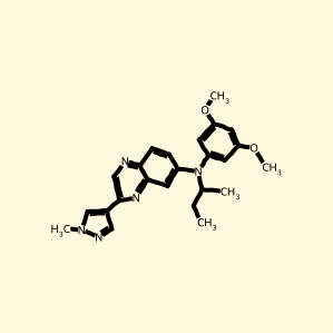 CCC(C)N(c1cc(OC)cc(OC)c1)c1ccc2ncc(-c3cnn(C)c3)nc2c1